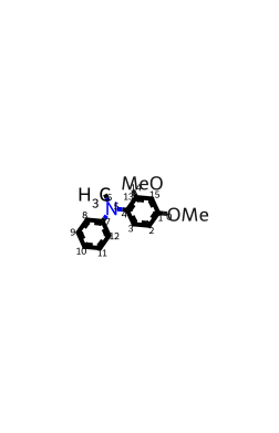 COc1ccc(N(C)c2ccccc2)c(OC)c1